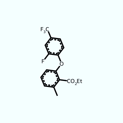 CCOC(=O)c1c(C)cccc1Oc1ccc(C(F)(F)F)cc1F